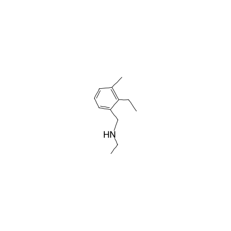 CCNCc1cccc(C)c1CC